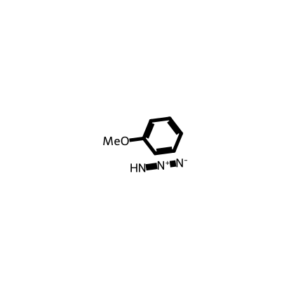 COc1ccccc1.[N-]=[N+]=N